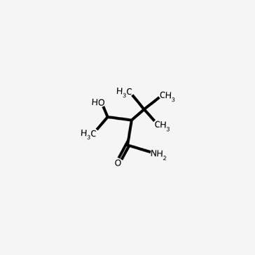 CC(O)C(C(N)=O)C(C)(C)C